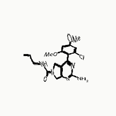 C=CCNC(=O)N1Cc2nc(N)nc(-c3c(Cl)cc(OC)cc3OC)c2C1